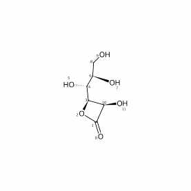 O=C1O[C@@H]([C@H](O)[C@H](O)CO)[C@H]1O